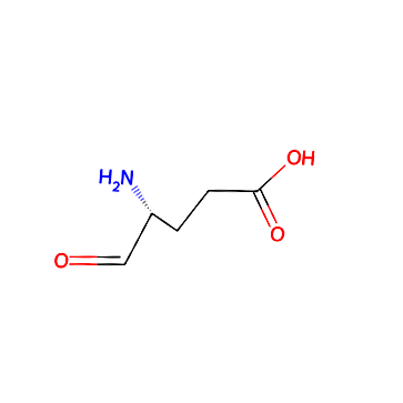 N[C@@H](C=O)CCC(=O)O